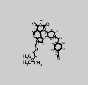 C[Si](C)(C)CCOCn1ccc2c1ncc1c(=O)[nH]c(=O)n(C3CCN(Cc4ccc(C#N)cc4)CC3)c12